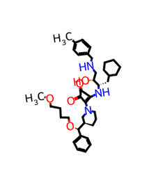 COCCCCO[C@@H](c1ccccc1)[C@@H]1CCCN(c2c(N[C@@H](CC3CCCCC3)[C@H](O)CNCc3ccc(C)cc3)c(=O)c2=O)C1